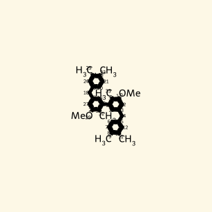 COc1cc(Cc2ccc(C)c(C)c2)cc(-c2cc(Cc3ccc(C)c(C)c3)cc(OC)c2C)c1C